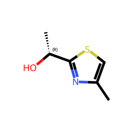 Cc1csc([C@@H](C)O)n1